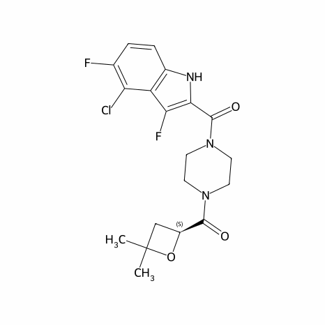 CC1(C)C[C@@H](C(=O)N2CCN(C(=O)c3[nH]c4ccc(F)c(Cl)c4c3F)CC2)O1